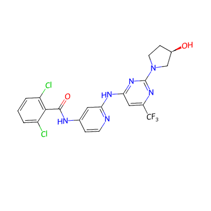 O=C(Nc1ccnc(Nc2cc(C(F)(F)F)nc(N3CC[C@@H](O)C3)n2)c1)c1c(Cl)cccc1Cl